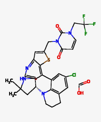 CC1(C)C[C@@H](N2CCCc3cc(Cl)cc(-c4ccnc5cc(Cn6c(=O)ccn(CC(F)(F)F)c6=O)sc45)c32)CN1.O=CO